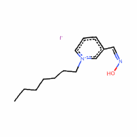 CCCCCCC[n+]1cccc(/C=N\O)c1.[I-]